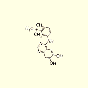 CC(C)(C)c1cccc(Nc2ncnc3cc(O)c(O)cc23)c1